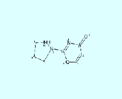 O=c1ccoc(N2CCCN2)n1